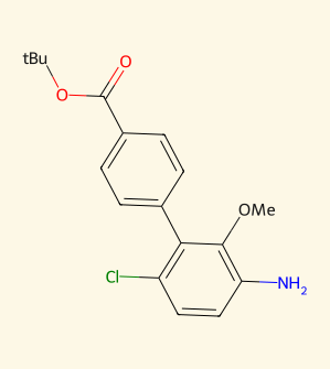 COc1c(N)ccc(Cl)c1-c1ccc(C(=O)OC(C)(C)C)cc1